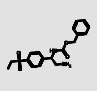 CCS(=O)(=O)c1ccc([C@H](CN)NC(=O)OCc2ccccc2)cc1